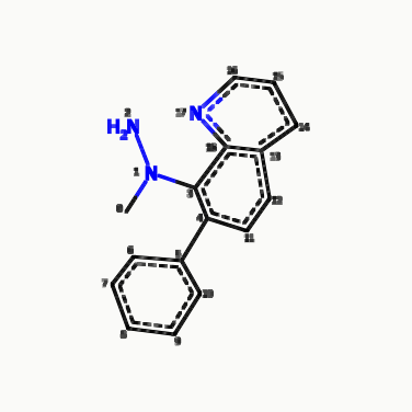 CN(N)c1c(-c2ccccc2)ccc2cccnc12